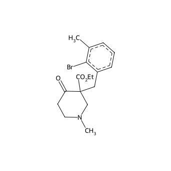 CCOC(=O)C1(Cc2cccc(C)c2Br)CN(C)CCC1=O